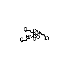 O=CN(CCCC1CO1)C(=O)N(CCCC1CO1)C(=O)NCCCC1CO1